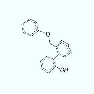 Oc1ccccc1-c1ccccc1COc1ccccc1